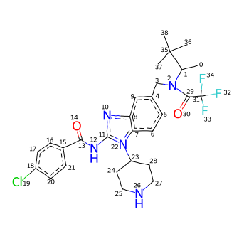 CC(N(Cc1ccc2c(c1)nc(NC(=O)c1ccc(Cl)cc1)n2C1CCNCC1)C(=O)C(F)(F)F)C(C)(C)C